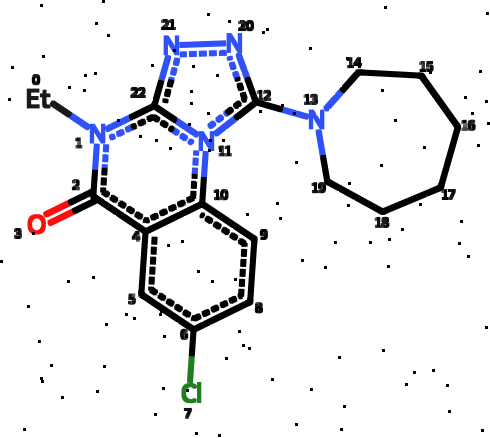 CCn1c(=O)c2cc(Cl)ccc2n2c(N3CCCCCC3)nnc12